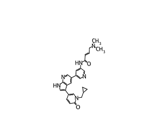 CN(C)CC=CC(=O)Nc1cncc(-c2cnc3[nH]cc(-c4ccc(=O)n(CC5CC5)c4)c3c2)c1